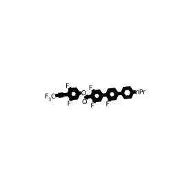 CCCC1CCC(c2ccc(-c3cc(F)c(C(=O)Oc4cc(F)c(C#CC(F)(F)F)c(F)c4)c(F)c3)c(F)c2)CC1